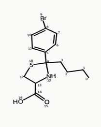 CCCCC1(c2ccc(Br)cc2)NC(C(=O)O)CS1